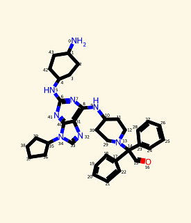 NC1CCC(Nc2nc(NC3CCN(C(C=O)(c4ccccc4)c4ccccc4)CC3)c3ncn(C4CCCC4)c3n2)CC1